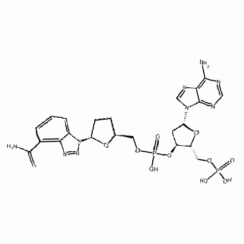 NC(=O)c1cccc2c1nnn2[C@H]1CC[C@@H](COP(=O)(O)O[C@H]2C[C@H](n3cnc4c(N)ncnc43)O[C@@H]2COP(=O)(O)O)O1